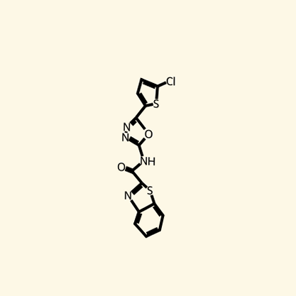 O=C(Nc1nnc(-c2ccc(Cl)s2)o1)c1nc2ccccc2s1